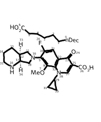 CCCCCCCCCCCCCCCC(=O)O.COc1c(N2C[C@@H]3CCCN[C@@H]3C2)c(F)cc2c(=O)c(C(=O)O)cn(C3CC3)c12